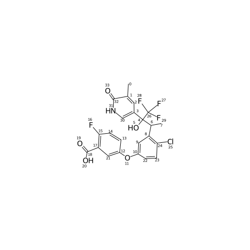 Cc1cc(C(O)(C(C)c2cc(Oc3ccc(F)c(C(=O)O)c3)ccc2Cl)C(F)(F)F)c[nH]c1=O